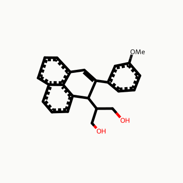 COc1cccc(C2=Cc3cccc4cccc(c34)C2C(CO)CO)c1